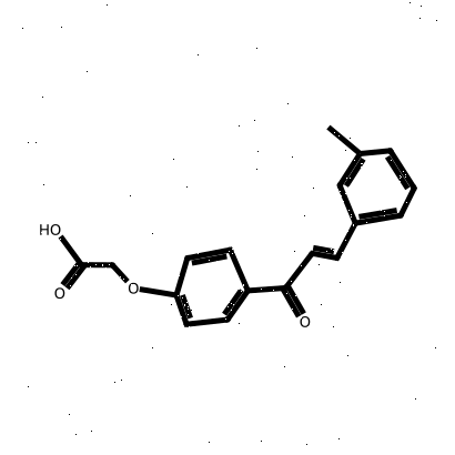 Cc1cccc(C=CC(=O)c2ccc(OCC(=O)O)cc2)c1